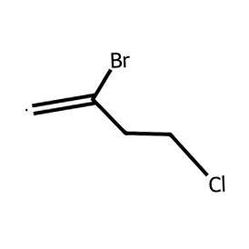 [CH]=C(Br)CCCl